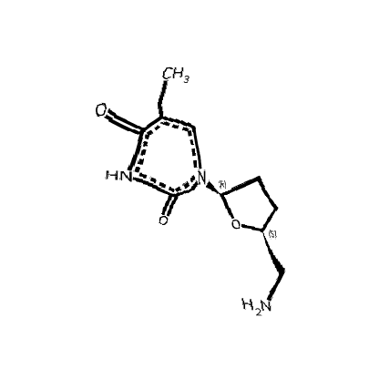 Cc1cn([C@H]2CC[C@@H](CN)O2)c(=O)[nH]c1=O